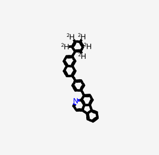 [2H]c1c([2H])c([2H])c(-c2ccc3ccc(-c4ccc(-c5ccc6c7c(ccnc57)-c5ccccc5-6)cc4)cc3c2)c([2H])c1[2H]